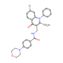 O=C(NCc1c(C(=O)O)n(-c2ccccc2)c2cc(Cl)ccc2c1=O)c1ccc(N2CCOCC2)cc1